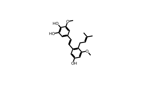 COc1cc(/C=C/c2cc(O)cc(OC)c2CC=C(C)C)cc(O)c1O